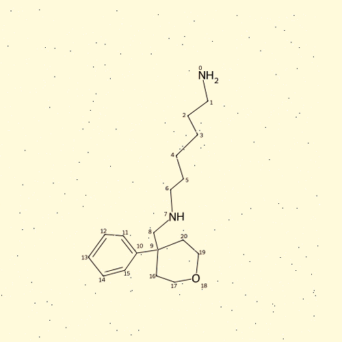 NCCCCCCNCC1(c2ccccc2)CCOCC1